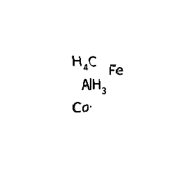 C.[AlH3].[Co].[Fe]